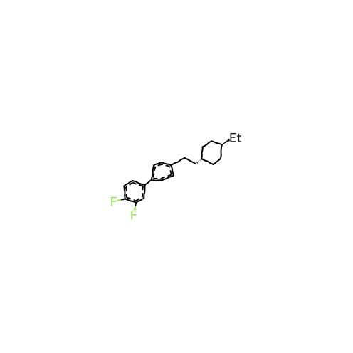 CC[C@H]1CC[C@H](CCc2ccc(-c3ccc(F)c(F)c3)cc2)CC1